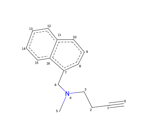 C#CCCN(C)Cc1cccc2ccccc12